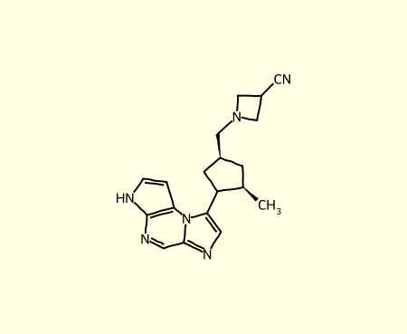 C[C@@H]1C[C@H](CN2CC(C#N)C2)CC1c1cnc2cnc3[nH]ccc3n12